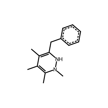 CC1=C(Cc2ccccc2)NN(C)C(C)=C1C